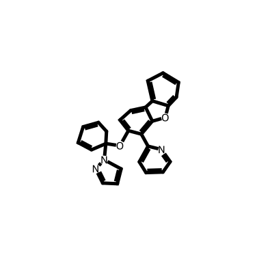 C1=CCC(Oc2ccc3c(oc4ccccc43)c2-c2ccccn2)(n2cccn2)C=C1